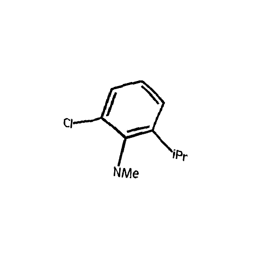 CNc1c(Cl)cccc1C(C)C